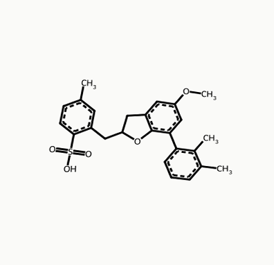 COc1cc2c(c(-c3cccc(C)c3C)c1)OC(Cc1cc(C)ccc1S(=O)(=O)O)C2